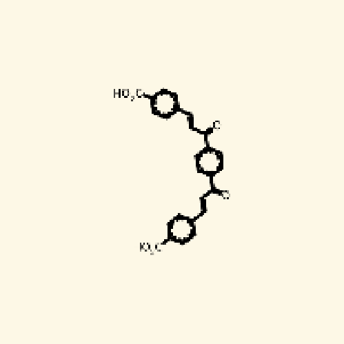 O=C(O)c1ccc(/C=C/C(=O)c2ccc(C(=O)/C=C/c3ccc(C(=O)O)cc3)cc2)cc1